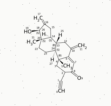 C#CC1C[C@@]2(C)C(=CC1=O)C(=C)C[C@H]1[C@@H]3CC(=C)[C@H](O)[C@@]3(C)CC[C@@H]12